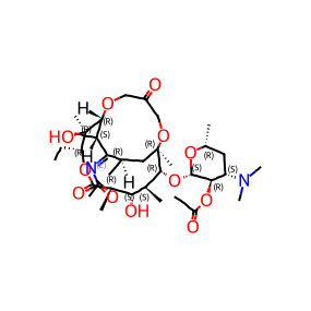 CC[C@H]1OC(=O)[C@H](C)[C@@H](O)[C@H](C)[C@@H](O[C@@H]2O[C@H](C)C[C@H](N(C)C)[C@H]2OC(C)=O)[C@@]2(C)C[C@@H](C)/C(=N\C(C)=O)[C@H](C)[C@@H](OCC(=O)CO2)[C@]1(C)O